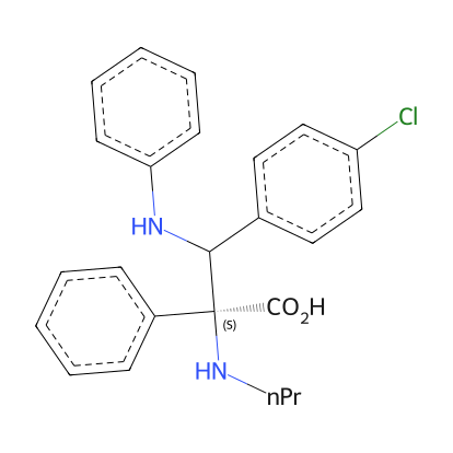 CCCN[C@@](C(=O)O)(c1ccccc1)C(Nc1ccccc1)c1ccc(Cl)cc1